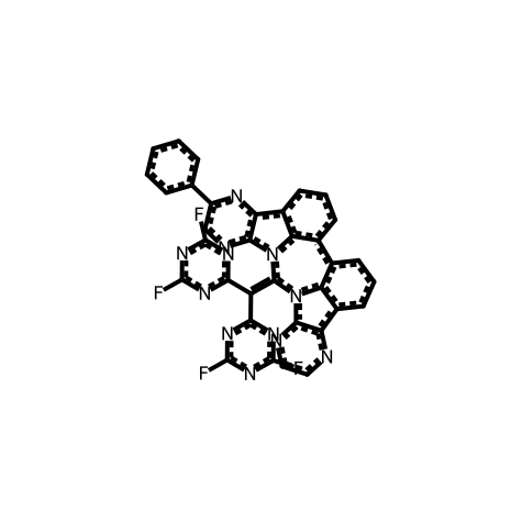 Fc1nc(F)nc(C(c2nc(F)nc(F)n2)=c2n3c4nccnc4c4cccc(c5cccc6c7nc(-c8ccccc8)cnc7n2c56)c43)n1